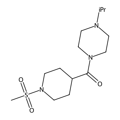 CC(C)N1CCN(C(=O)C2CCN(S(C)(=O)=O)CC2)CC1